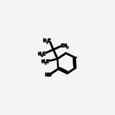 CC(C)(C)C1(C)C[C]=CC=C1O